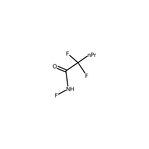 CCCC(F)(F)C(=O)NF